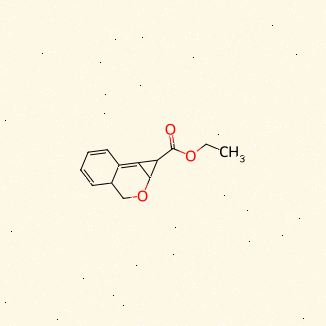 CCOC(=O)C1C2=C3C=CC=CC3COC21